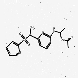 CC(=O)OC(C)Nc1cccc(C(N)S(=O)(=O)c2ccccn2)n1